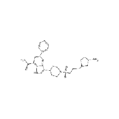 NC(=O)c1cc(-c2ccccc2)cc2c(C3CCN(S(=O)(=O)CCCN4CCC(N)C4)CC3)c[nH]c12